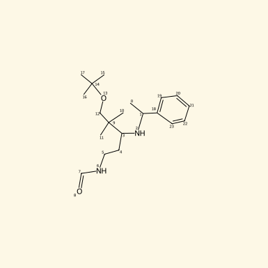 CC(NC(CCNC=O)C(C)(C)COC(C)(C)C)c1ccccc1